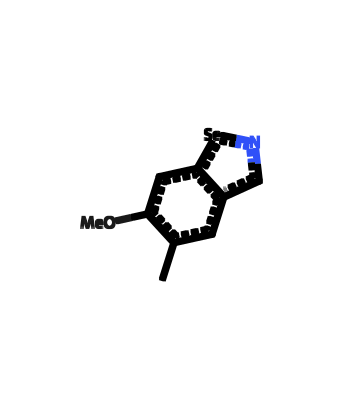 COc1cc2[se]ncc2cc1C